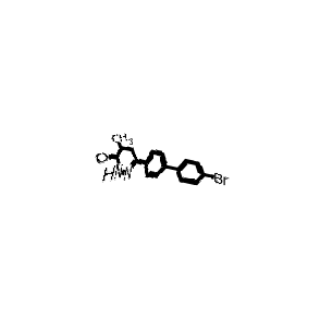 CC1CC(c2ccc(-c3ccc(Br)cc3)cc2)=NNC1=O